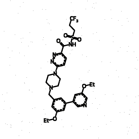 CCOc1cncc(-c2cc(CN3CCN(c4ccc(C(=O)NS(=O)(=O)CCC(F)(F)F)nn4)CC3)cc(OCC)c2)c1